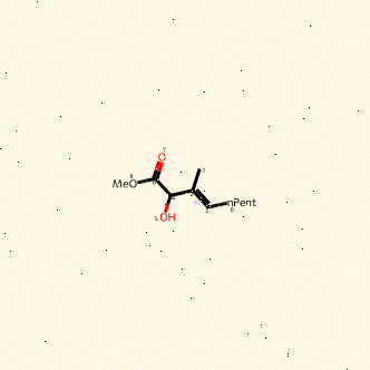 CCCCC/C=C(\C)C(O)C(=O)OC